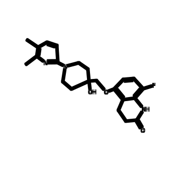 Cc1ccc(N2CCC(O)(COc3ccc(F)c4c3CCC(=O)N4)CC2)nc1C